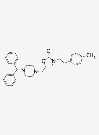 Cc1ccc(CCN2CC(CN3CCN(C(c4ccccc4)c4ccccc4)CC3)OC2=O)cc1